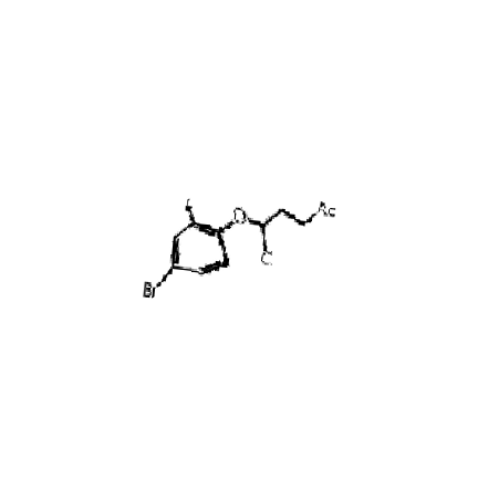 CC(=O)CCC(Cl)Oc1ccc(Br)cc1I